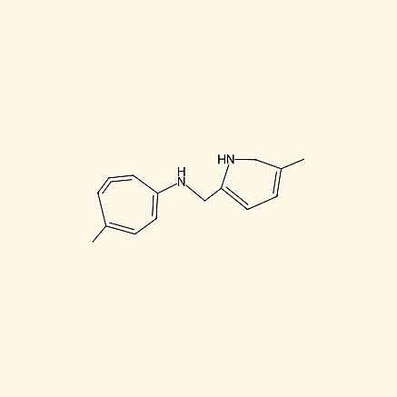 CC1=CC=C(NCC2=CC=C(C)CN2)C=C=C1